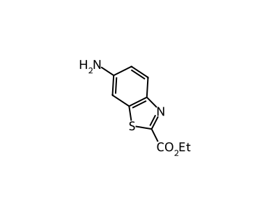 CCOC(=O)c1nc2ccc(N)cc2s1